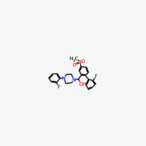 CS(=O)(=O)c1ccc(-c2ccccc2F)c(C(O)N2CCN(c3ccccc3F)CC2)c1